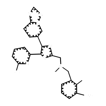 COc1cccc(CN(I)Cc2nc(-c3cccc(C)n3)c(-c3ccc4ncnn4c3)[nH]2)c1C